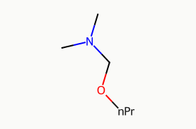 CCCOCN(C)C